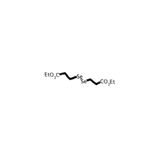 CCOC(=O)CC[Se][Se]CCC(=O)OCC